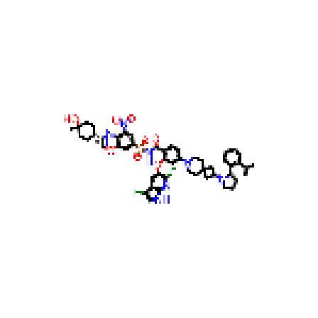 CC(C)c1ccccc1[C@H]1CCCN1C1CC2(CCN(c3ccc(C(=O)NS(=O)(=O)c4cc5c(c([N+](=O)[O-])c4)N[C@@H](C4CCC(C)(O)CC4)CO5)c(Oc4cc5c(F)c[nH]c5nc4F)c3)CC2)C1